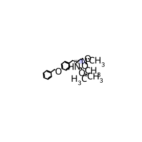 CO/N=C/[C@H](Cc1ccc(OCc2ccccc2)cc1)NC(=O)OC(C)(C)C